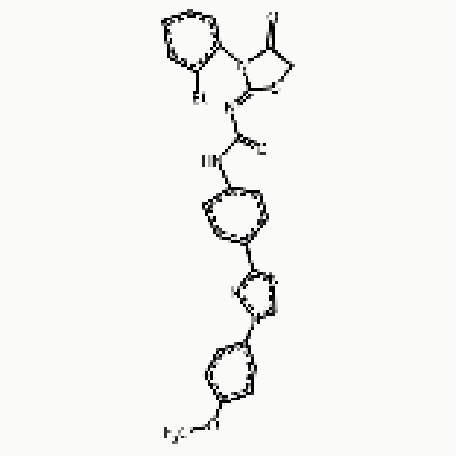 CCc1ccccc1N1C(=O)CS/C1=N\C(=O)Nc1ccc(-c2ncn(-c3ccc(OC(F)(F)F)cc3)n2)cc1